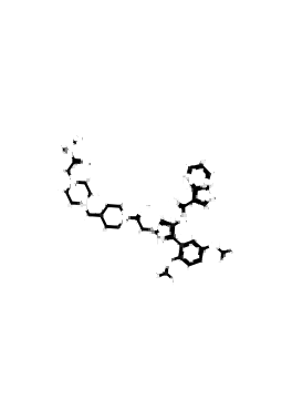 CC(C)Sc1ccc(OC(F)F)c(-c2nn(CC(=O)N3CCC(CN4CCN(CC(=O)N(C)C)CC4)CC3)cc2NC(=O)c2cnn3cccnc23)c1